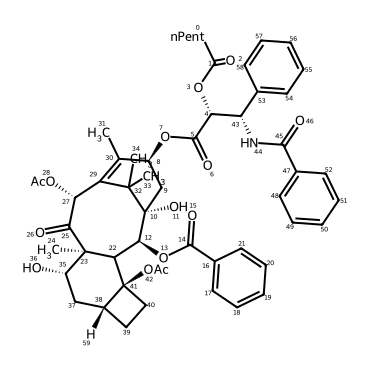 CCCCCC(=O)O[C@@H](C(=O)O[C@H]1C[C@@]2(O)[C@@H](OC(=O)c3ccccc3)C3[C@](C)(C(=O)[C@H](OC(C)=O)C(=C1C)C2(C)C)[C@@H](O)C[C@H]1CC[C@@]31OC(C)=O)[C@@H](NC(=O)c1ccccc1)c1ccccc1